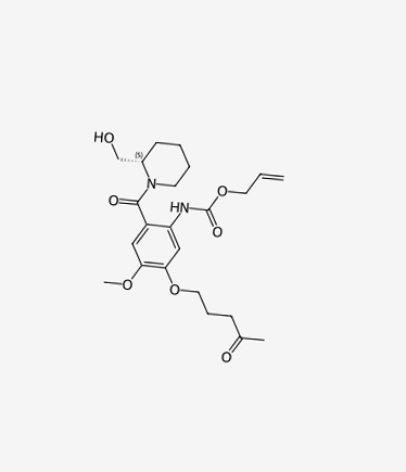 C=CCOC(=O)Nc1cc(OCCCC(C)=O)c(OC)cc1C(=O)N1CCCC[C@H]1CO